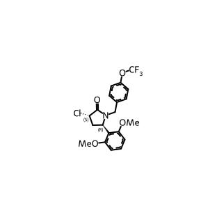 COc1cccc(OC)c1[C@H]1C[C@H](Cl)C(=O)N1Cc1ccc(OC(F)(F)F)cc1